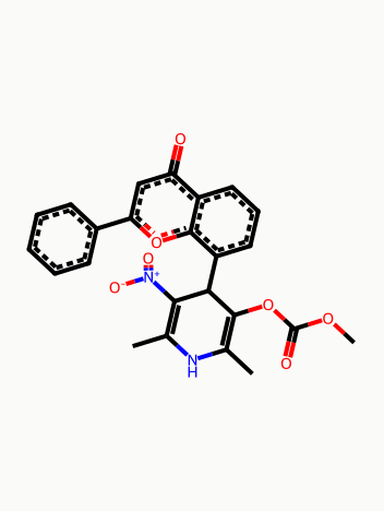 COC(=O)OC1=C(C)NC(C)=C([N+](=O)[O-])C1c1cccc2c(=O)cc(-c3ccccc3)oc12